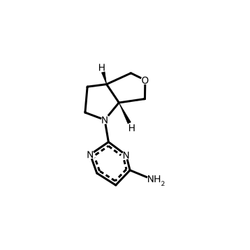 Nc1ccnc(N2CC[C@@H]3COC[C@@H]32)n1